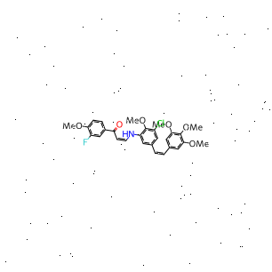 COc1ccc(C(=O)/C=C\Nc2cc(/C=C\c3cc(OC)c(OC)c(OC)c3)cc(Cl)c2OC)cc1F